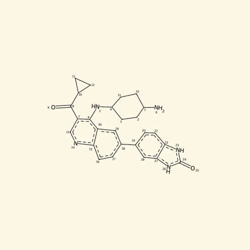 NC1CCC(Nc2c(C(=O)C3CC3)cnc3ccc(-c4ccc5[nH]c(=O)[nH]c5c4)cc23)CC1